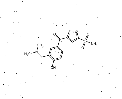 CN(C)Cc1cc(C(=O)c2csc(S(N)(=O)=O)c2)ccc1O